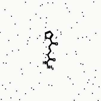 NNC(=O)[CH]CCC(=O)c1cccs1